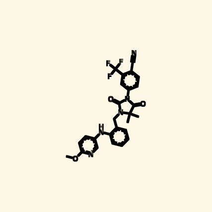 COc1ccc(Nc2ccccc2CN2C(=O)N(c3ccc(C#N)c(C(F)(F)F)c3)C(=O)C2(C)C)cn1